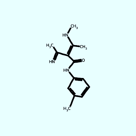 CN/C(C)=C(\C(C)=N)C(=O)Nc1cccc(C)c1